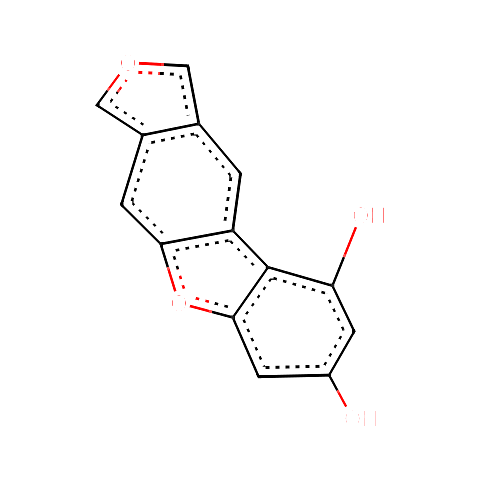 Oc1cc(O)c2c(c1)oc1cc3cocc3cc12